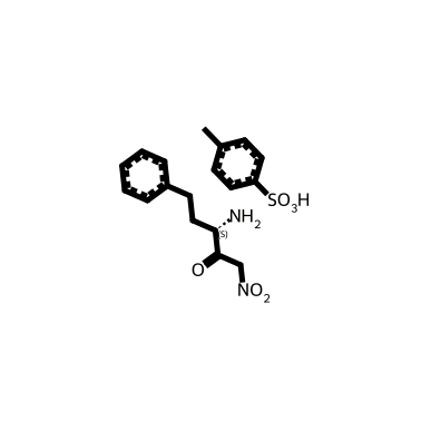 Cc1ccc(S(=O)(=O)O)cc1.N[C@@H](CCc1ccccc1)C(=O)C[N+](=O)[O-]